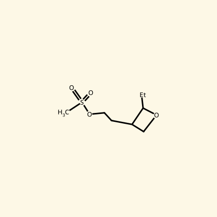 CCC1OCC1CCOS(C)(=O)=O